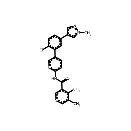 Cc1cncc(C(=O)Nc2ccc(-c3cc(-c4cnn(C)c4)ccc3Cl)cn2)c1C